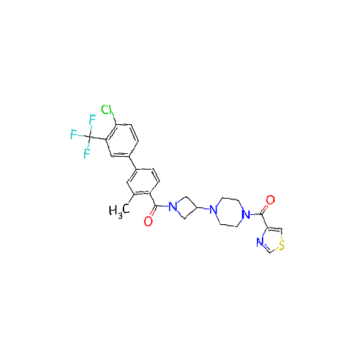 Cc1cc(-c2ccc(Cl)c(C(F)(F)F)c2)ccc1C(=O)N1CC(N2CCN(C(=O)c3cscn3)CC2)C1